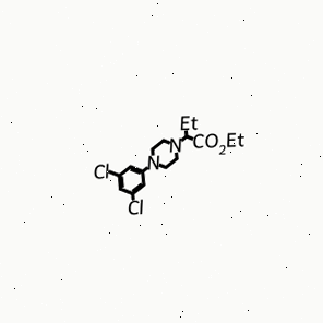 CCOC(=O)C(CC)N1CCN(c2cc(Cl)cc(Cl)c2)CC1